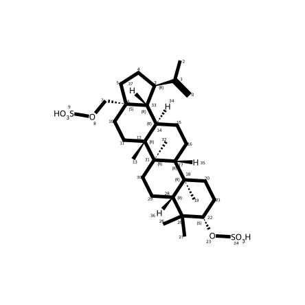 C=C(C)[C@@H]1CC[C@]2(COS(=O)(=O)O)CC[C@]3(C)[C@H](CC[C@@H]4[C@@]5(C)CC[C@H](OS(=O)(=O)O)C(C)(C)[C@@H]5CC[C@]43C)[C@@H]12